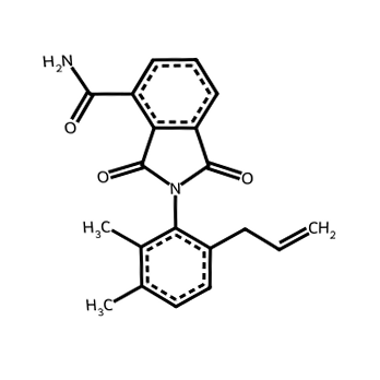 C=CCc1ccc(C)c(C)c1N1C(=O)c2cccc(C(N)=O)c2C1=O